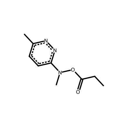 CCC(=O)ON(C)c1ccc(C)nn1